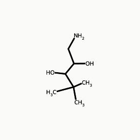 CC(C)(C)C(O)C(O)CN